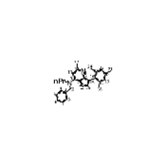 CCCN(Cc1ccccc1)c1cc(C)nc2c(-c3c(C)cc(C)cc3C)csc12